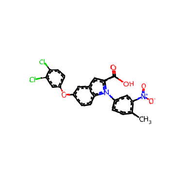 Cc1ccc(-n2c(C(=O)O)cc3cc(Oc4ccc(Cl)c(Cl)c4)ccc32)cc1[N+](=O)[O-]